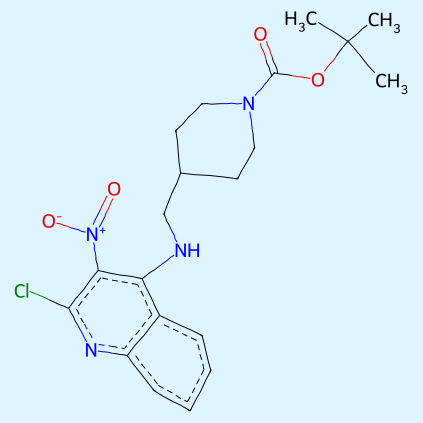 CC(C)(C)OC(=O)N1CCC(CNc2c([N+](=O)[O-])c(Cl)nc3ccccc23)CC1